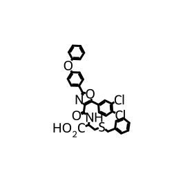 O=C(NC(CSCc1ccccc1)C(=O)O)c1nc(-c2ccc(Oc3ccccc3)cc2)oc1-c1ccc(Cl)c(Cl)c1